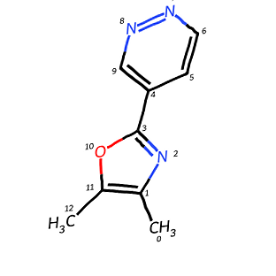 Cc1nc(-c2ccnnc2)oc1C